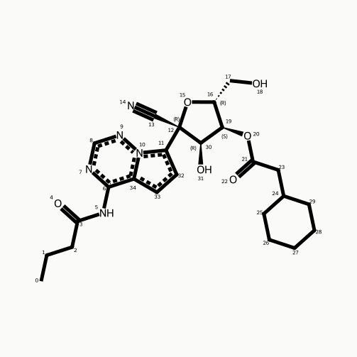 CCCC(=O)Nc1ncnn2c([C@]3(C#N)O[C@H](CO)[C@@H](OC(=O)CC4CCCCC4)[C@H]3O)ccc12